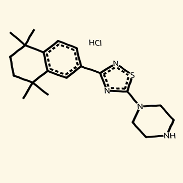 CC1(C)CCC(C)(C)c2cc(-c3nsc(N4CCNCC4)n3)ccc21.Cl